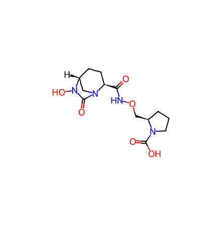 O=C(NOC[C@H]1CCCN1C(=O)O)[C@@H]1CC[C@@H]2CN1C(=O)N2O